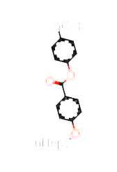 CCCCCCCCc1ccc(OC(=O)c2ccc(OCCCCCCC)cc2)cc1